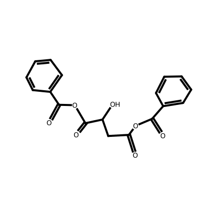 O=C(CC(O)C(=O)OC(=O)c1ccccc1)OC(=O)c1ccccc1